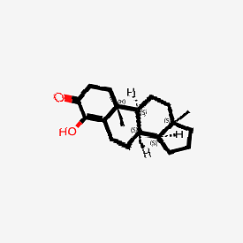 C[C@@]12CCC[C@H]1[C@@H]1CCC3=C(O)C(=O)CC[C@]3(C)[C@H]1CC2